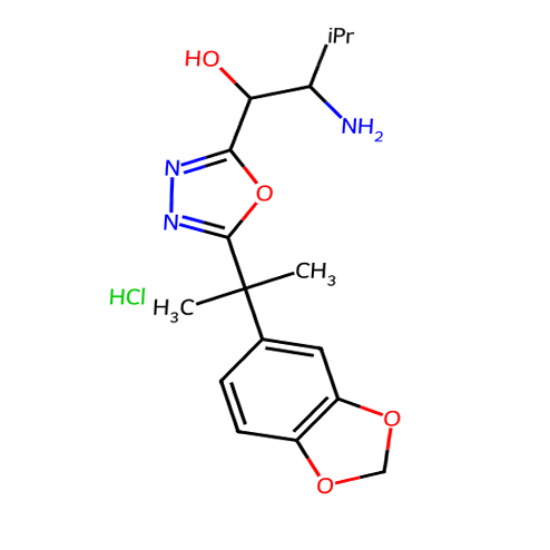 CC(C)C(N)C(O)c1nnc(C(C)(C)c2ccc3c(c2)OCO3)o1.Cl